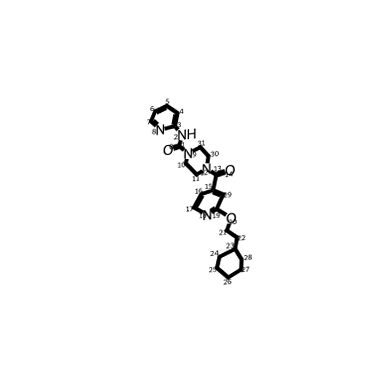 O=C(Nc1ccccn1)N1CCN(C(=O)c2ccnc(OCCC3CCCCC3)c2)CC1